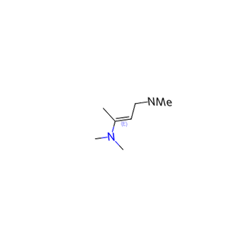 CNC/C=C(\C)N(C)C